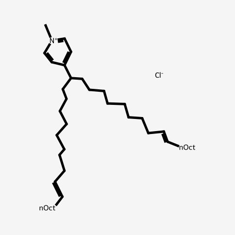 CCCCCCCC/C=C/CCCCCCCCC(CCCCCCCC/C=C/CCCCCCCC)c1cc[n+](C)cc1.[Cl-]